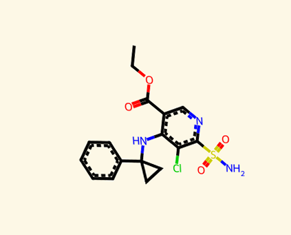 CCOC(=O)c1cnc(S(N)(=O)=O)c(Cl)c1NC1(c2ccccc2)CC1